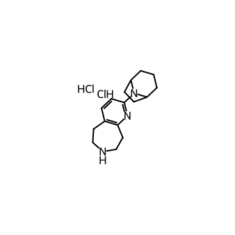 Cl.Cl.c1cc2c(nc1N1C3CCCC1CC3)CCNCC2